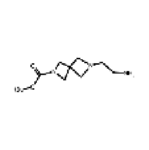 CC(C)(C)OC(=O)N1CC2(CN(CCN)C2)C1